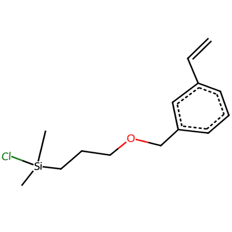 C=Cc1cccc(COCCC[Si](C)(C)Cl)c1